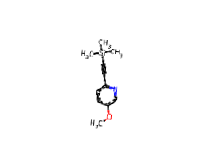 COc1ccc(C#C[Si](C)(C)C)nc1